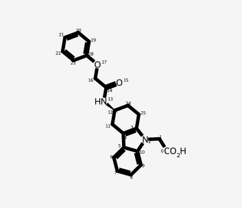 O=C(O)Cn1c2c(c3ccccc31)C[C@@H](NC(=O)COc1ccccc1)CC2